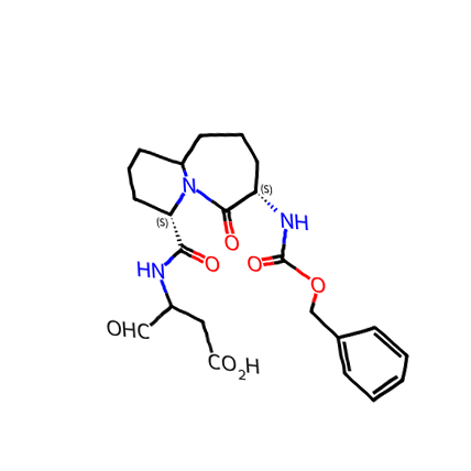 O=CC(CC(=O)O)NC(=O)[C@@H]1CCCC2CCC[C@H](NC(=O)OCc3ccccc3)C(=O)N21